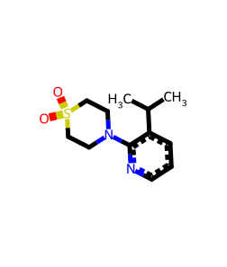 CC(C)c1cccnc1N1CCS(=O)(=O)CC1